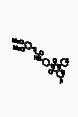 COc1ccc(SCC(=O)NC2CCC(n3c(=O)c4cc(F)cnc4n(C4CCSCC4)c3=O)CC2)cc1OC